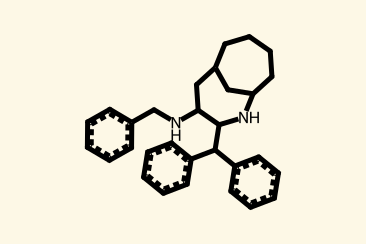 c1ccc(CNC2CC3CCCCC(C3)NC2C(c2ccccc2)c2ccccc2)cc1